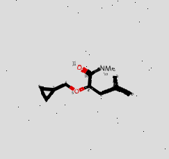 C=C(C)CC(OCC1CC1)C(=O)NC